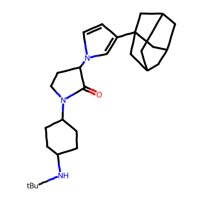 CC(C)(C)NC1CCC(N2CCC(n3ccc(C45CC6CC(CC(C6)C4)C5)c3)C2=O)CC1